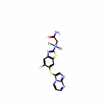 CC[N+](CC)(CC(N)=O)c1nc2cc(F)c(Sc3cnc4ncccn34)cc2s1